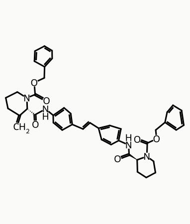 C=C1CCCN(C(=O)OCc2ccccc2)[C@@H]1C(=O)Nc1ccc(/C=C/c2ccc(NC(=O)[C@@H]3CCCCN3C(=O)OCc3ccccc3)cc2)cc1